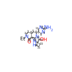 CCn1ccc2cc(-c3cnc(N)nc3)nc(NC3(CO)CCC3)c2c1=O